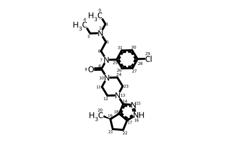 CCN(CC)CCN(C(=O)N1CCN(c2n[nH]c3c2[C@H](C)CC3)CC1)c1ccc(Cl)cc1